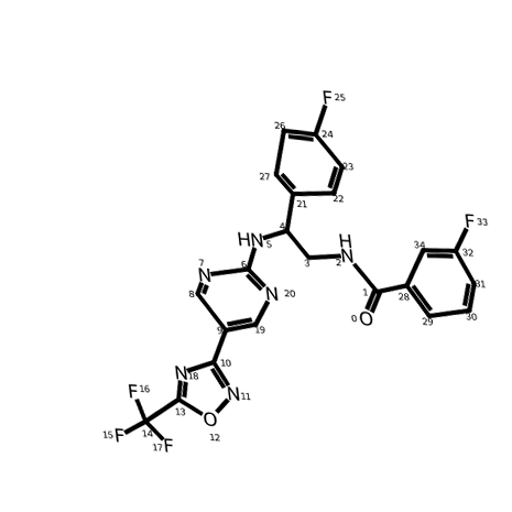 O=C(NCC(Nc1ncc(-c2noc(C(F)(F)F)n2)cn1)c1ccc(F)cc1)c1cccc(F)c1